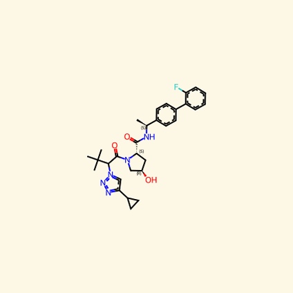 C[C@H](NC(=O)[C@@H]1C[C@@H](O)CN1C(=O)C(n1cc(C2CC2)nn1)C(C)(C)C)c1ccc(-c2ccccc2F)cc1